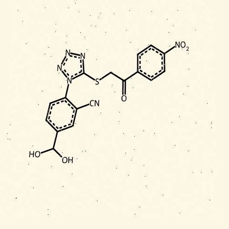 N#Cc1cc(C(O)O)ccc1-n1nnnc1SCC(=O)c1ccc([N+](=O)[O-])cc1